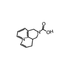 O=C(O)N1Cc2ccc[n+]3c2C(CC=C3)C1